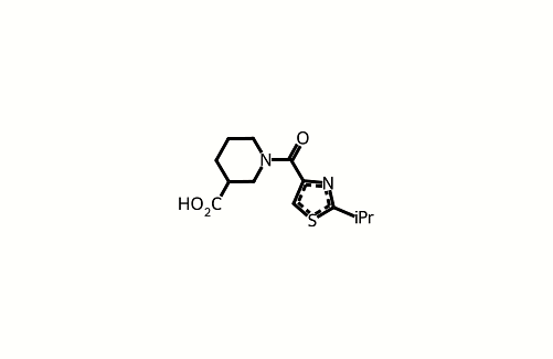 CC(C)c1nc(C(=O)N2CCCC(C(=O)O)C2)cs1